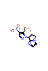 Cc1c([N+](=O)[O-])cnn1C1CCn2ccnc21